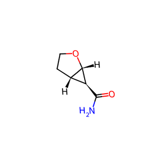 NC(=O)[C@H]1[C@@H]2CCO[C@@H]21